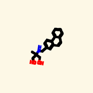 CC(CO)(CO)NCc1ccc2c(ccc3ccccc32)c1